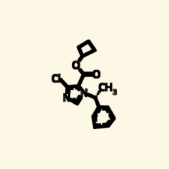 C[C@H](c1ccccc1)n1cnc(Cl)c1C(=O)OC1CCC1